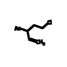 C=CC(CCCl)C(C)=O